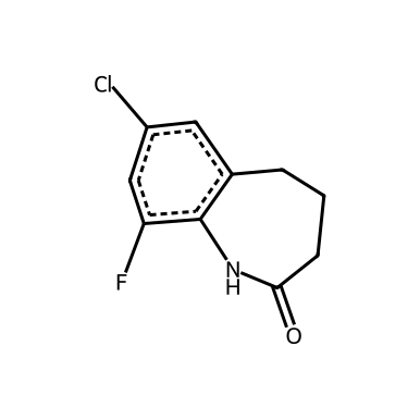 O=C1CCCc2cc(Cl)cc(F)c2N1